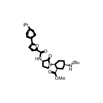 COC(=O)[C@@H]1C[C@H](NC(C)(C)C)CC[C@@H]1N1CC[C@H](NC(=O)c2ccc(-c3ccc(C(C)C)cc3)o2)C1=O